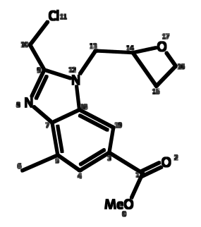 COC(=O)c1cc(C)c2nc(CCl)n(CC3CCO3)c2c1